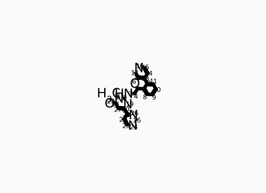 Cn1c(NCC(=O)c2ccccc2-c2ccncc2)nc(-c2ccncn2)cc1=O